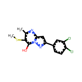 CSc1c(C)nc2cc(-c3ccc(Cl)c(Cl)c3)nn2c1O